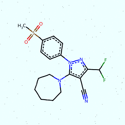 CS(=O)(=O)c1ccc(-n2nc(C(F)F)c(C#N)c2N2CCCCCC2)cc1